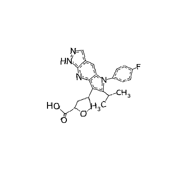 CC(C)c1c(C2COC(C(=O)O)C2)c2nc3[nH]ncc3cc2n1-c1ccc(F)cc1